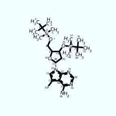 CC(C)(C)[Si](C)(C)OCC1O[C@@H](n2cc(I)c3c(N)ncnc32)CC1O[Si](C)(C)C(C)(C)C